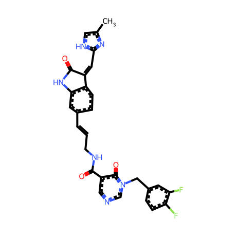 Cc1c[nH]c(C=C2C(=O)Nc3cc(/C=C/CNC(=O)c4cncn(Cc5ccc(F)c(F)c5)c4=O)ccc32)n1